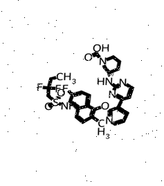 CCC(F)(F)CS(=O)(=O)Nc1c(F)ccc2c(Oc3ncccc3-c3ccnc(N[C@H]4CCCN(C(=O)O)C4)n3)c(C)ccc12